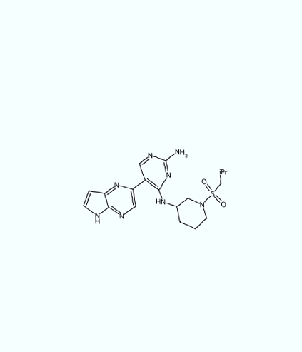 CC(C)CS(=O)(=O)N1CCCC(Nc2nc(N)ncc2-c2cnc3[nH]ccc3n2)C1